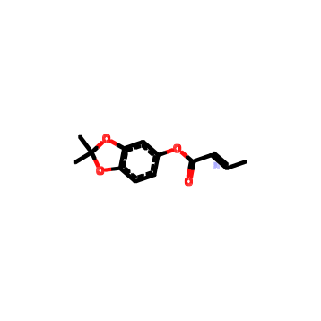 C/C=C/C(=O)Oc1ccc2c(c1)OC(C)(C)O2